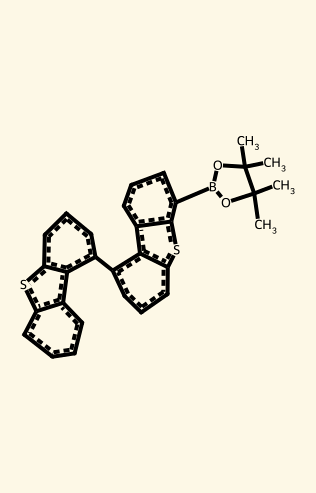 CC1(C)OB(c2cccc3c2sc2cccc(-c4cccc5sc6ccccc6c45)c23)OC1(C)C